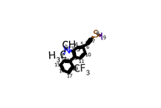 CN(C)c1cc(C#CSI)ccc1-c1ccccc1C(F)(F)F